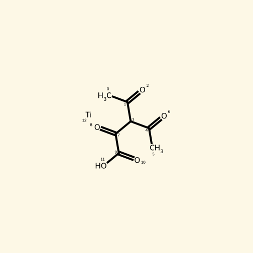 CC(=O)C(C(C)=O)C(=O)C(=O)O.[Ti]